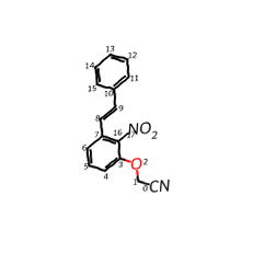 N#CCOc1cccc(C=Cc2ccccc2)c1[N+](=O)[O-]